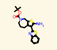 CC(C)(C)OC(=O)N1CCCc2c(sc(N)c2-c2nc3ccccc3s2)C1